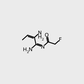 C/C=C(N)\C(N)=N/C(=O)CF